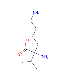 CC(C)C(N)(CCCCN)C(=O)O